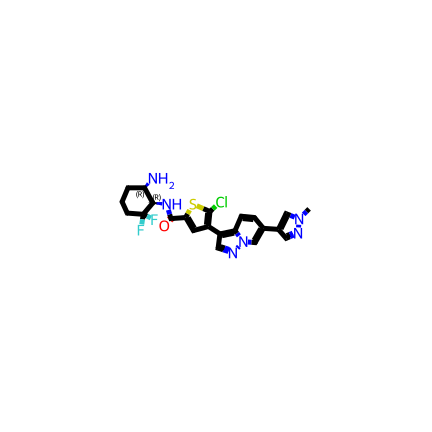 Cn1cc(-c2ccc3c(-c4cc(C(=O)N[C@@H]5[C@H](N)CCCC5(F)F)sc4Cl)cnn3c2)cn1